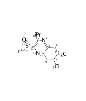 CC(C)c1nc2cc(Cl)c(Cl)cc2nc1[S+]([O-])C(C)C